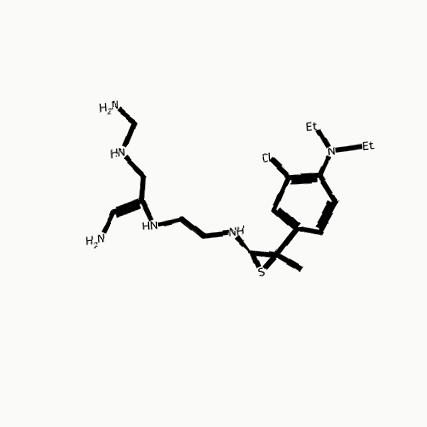 CCN(CC)c1ccc(C2(C)S[C@H]2NCCN/C(=C\N)CNCN)cc1Cl